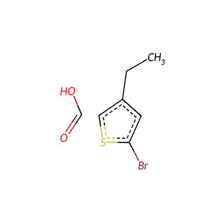 CCc1csc(Br)c1.O=CO